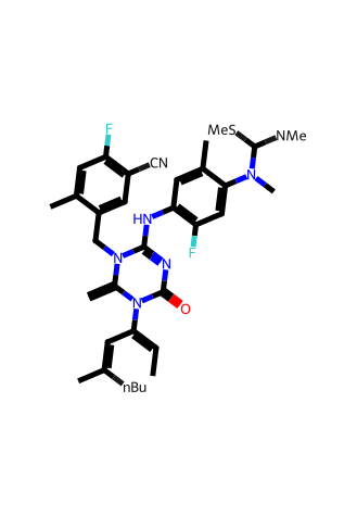 C=C1N(Cc2cc(C#N)c(F)cc2C)C(Nc2cc(C)c(N(C)C(NC)SC)cc2F)=NC(=O)N1C(/C=C(/C)CCCC)=C/C